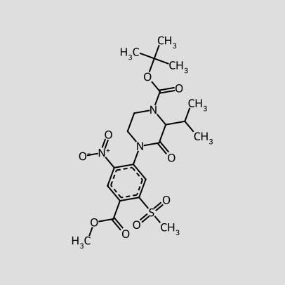 COC(=O)c1cc([N+](=O)[O-])c(N2CCN(C(=O)OC(C)(C)C)C(C(C)C)C2=O)cc1S(C)(=O)=O